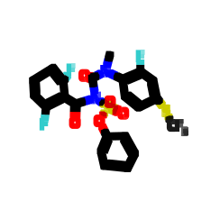 CN(C(=O)N(C(=O)c1c(F)cccc1F)S(=O)(=O)Oc1ccccc1)c1ccc(SC(F)(F)F)cc1F